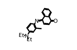 CCN(CC)c1ccc(N=C2C=CC(=O)c3ccccc32)c(C)c1